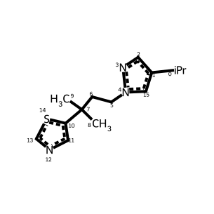 CC(C)c1cnn(CCC(C)(C)c2cncs2)c1